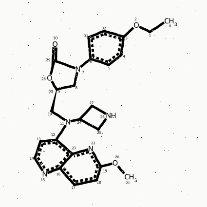 CCOc1ccc(N2C[C@@H](CN(c3ccnc4ccc(OC)nc34)C3CNC3)OC2=O)cc1